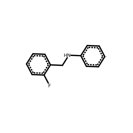 Fc1ccccc1CNc1cc[c]cc1